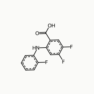 O=C(O)c1cc(F)c(F)cc1Nc1ccccc1F